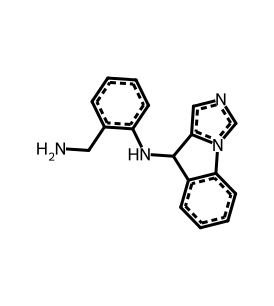 NCc1ccccc1NC1c2ccccc2-n2cncc21